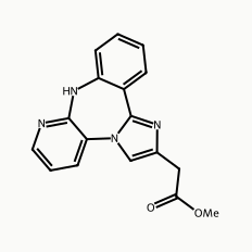 COC(=O)Cc1cn2c(n1)-c1ccccc1Nc1ncccc1-2